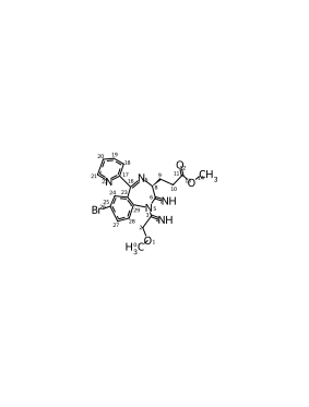 COCC(=N)N1C(=N)[C@H](CCC(=O)OC)N=C(c2ccccn2)c2cc(Br)ccc21